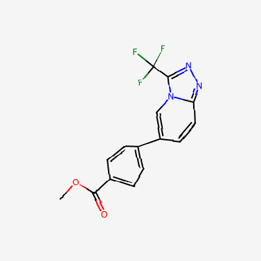 COC(=O)c1ccc(-c2ccc3nnc(C(F)(F)F)n3c2)cc1